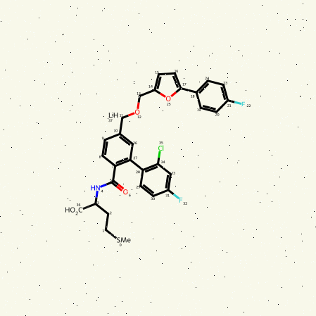 CSCCC(NC(=O)c1ccc(COCc2ccc(-c3ccc(F)cc3)o2)cc1-c1ccc(F)cc1Cl)C(=O)O.[LiH]